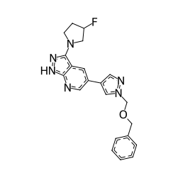 FC1CCN(c2n[nH]c3ncc(-c4cnn(COCc5ccccc5)c4)cc23)C1